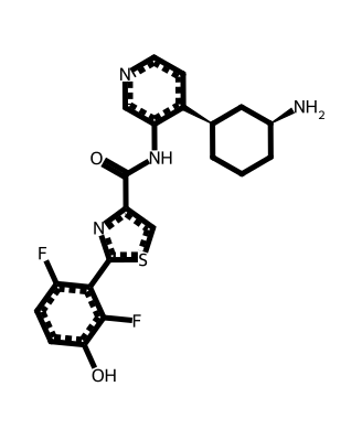 N[C@H]1CCC[C@@H](c2ccncc2NC(=O)c2csc(-c3c(F)ccc(O)c3F)n2)C1